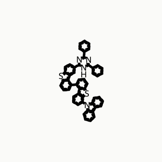 c1ccc(C2=NC(c3ccc4sc5cccc(-c6cccc7sc8c(-n9c%10ccccc%10c%10ccccc%109)cccc8c67)c5c4c3)NC(c3ccccc3)=N2)cc1